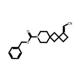 N#CC=C1CCC12CC1(CCN(C(=O)OCc3ccccc3)CC1)C2